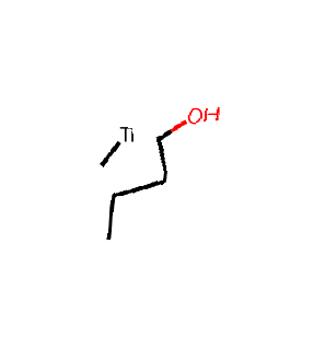 CCCCO.[CH3][Ti]